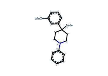 CNC1(c2cccc(OC)c2)CCN(c2ccccc2)CC1